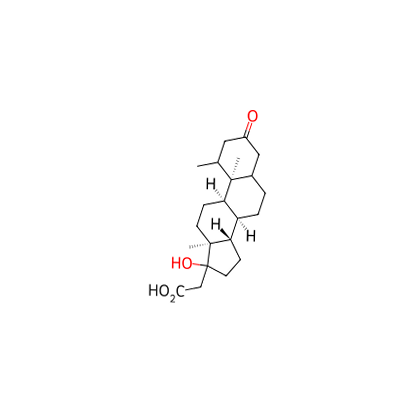 CC1CC(=O)CC2CC[C@@H]3[C@@H](CC[C@@]4(C)[C@H]3CCC4(O)CC(=O)O)[C@@]12C